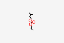 [CH2]CCOC(=O)OCCC(C)C